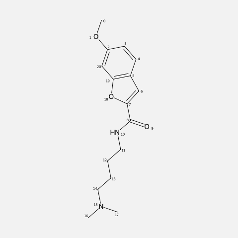 COc1ccc2cc(C(=O)NCCCCN(C)C)oc2c1